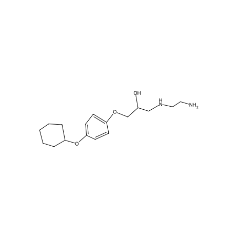 NCCNCC(O)COc1ccc(OC2CCCCC2)cc1